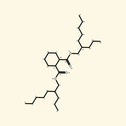 CCCCCC(CCC)COC(=O)C1CCCCC1C(=O)OCC(CCC)CCCCC